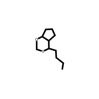 CCCCC1SCOC2CCCC21